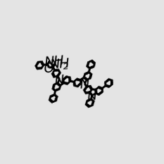 N=C(OC(N)c1ccccc1)c1ccc(-n2c3ccc(-c4ccccc4)cc3c3cc(-c4ccc5c(c4)c4cc(-c6ccccc6)ccc4n5-c4ccc5c(c4)c4cc(-c6ccccc6)ccc4n5-c4ccccc4)ccc32)cc1